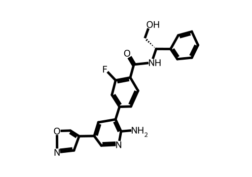 Nc1ncc(-c2cnoc2)cc1-c1ccc(C(=O)N[C@H](CO)c2ccccc2)c(F)c1